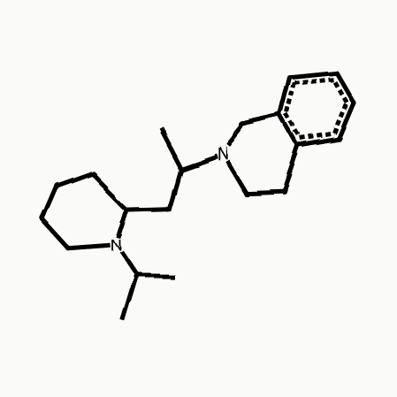 CC(CC1CCCCN1C(C)C)N1CCc2ccccc2C1